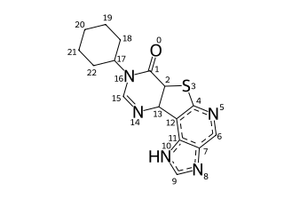 O=C1C2Sc3ncc4nc[nH]c4c3C2N=CN1C1CCCCC1